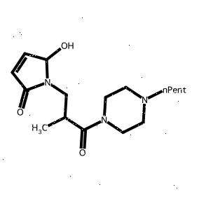 CCCCCN1CCN(C(=O)C(C)CN2C(=O)C=CC2O)CC1